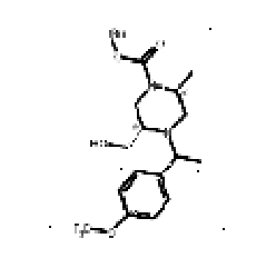 CC(c1ccc(OC(F)(F)F)cc1)N1C[C@H](C)N(C(=O)OC(C)(C)C)C[C@H]1CO